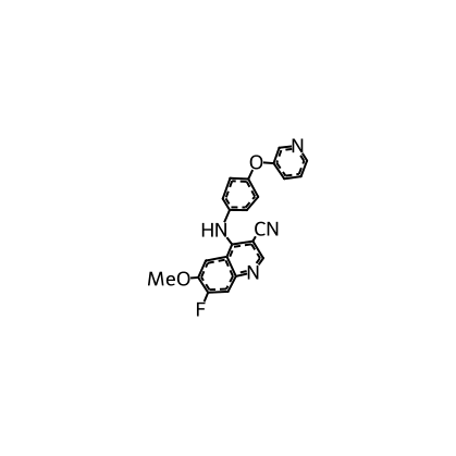 COc1cc2c(Nc3ccc(Oc4cccnc4)cc3)c(C#N)cnc2cc1F